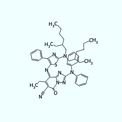 CCCCC(CC)CN(CC(CC)CCCC)c1nc(-c2ccccc2)c(/N=C2/C(CC)=C(C#N)C(=O)n3nc(N(c4ccccc4)c4ccccc4)nc32)s1